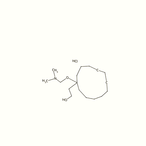 CN(C)COC1(CCO)CCCCCCCCCCC1.Cl